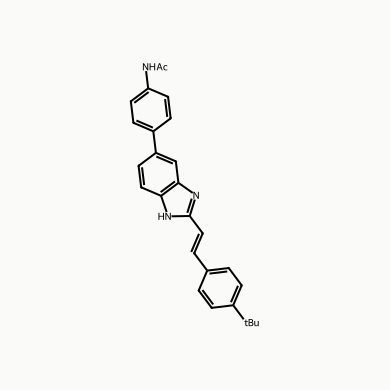 CC(=O)Nc1ccc(-c2ccc3[nH]c(/C=C/c4ccc(C(C)(C)C)cc4)nc3c2)cc1